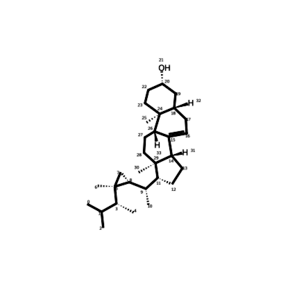 CC(C)[C@@H](C)[C@@]1(C)C[C@@H]1[C@@H](C)[C@H]1CC[C@H]2C3=CC[C@H]4C[C@@H](O)CC[C@]4(C)[C@H]3CC[C@]12C